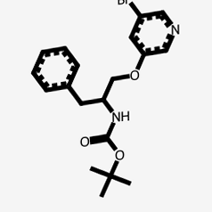 CC(C)(C)OC(=O)NC(COc1cncc(Br)c1)Cc1ccccc1